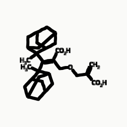 C=C(COCC(C(=O)O)=C(C1(C)C2CC3CC(C2)CC1C3)C1(C)C2CC3CC(C2)CC1C3)C(=O)O